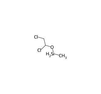 C[SiH2]OC(Cl)CCl